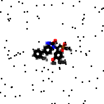 CCOc1cc([C@H](CS(C)(=O)=O)n2c(=O)[nH]c3cc(-c4ccccc4C(F)(F)F)ccc32)ccc1OC